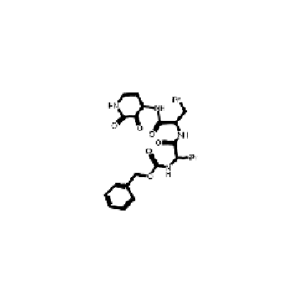 CC(C)CC(NC(=O)C(NC(=O)OCc1ccccc1)C(C)C)C(=O)NC1CCNC(=O)C1=O